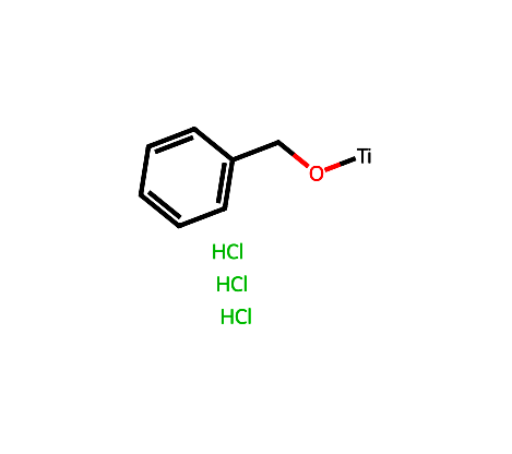 Cl.Cl.Cl.[Ti][O]Cc1ccccc1